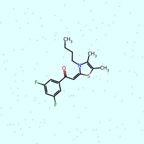 CCCCN1C(=CC(=O)c2cc(F)cc(F)c2)SC(C)=C1C